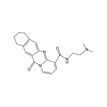 CN(C)CCNC(=O)c1cccn2c(=O)c3cc4c(cc3nc12)CCCC4